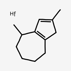 CC1=CC2=C(CCCCC2C)C1.[Hf]